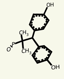 CC(C)(P=O)C(c1ccc(O)cc1)c1ccc(O)cc1